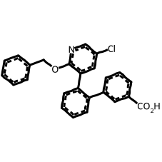 O=C(O)c1cccc(-c2ccccc2-c2cc(Cl)cnc2OCc2ccccc2)c1